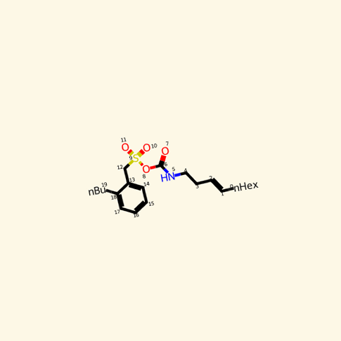 CCCCCCC=CCCNC(=O)OS(=O)(=O)Cc1ccccc1CCCC